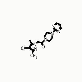 Cc1c(Cl)c(C(F)(F)F)nn1CC(=O)N1CCN(c2ncccn2)CC1